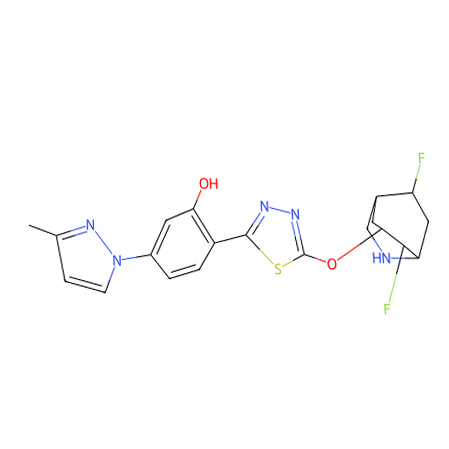 Cc1ccn(-c2ccc(-c3nnc(OC4CC5CNC(CC5F)C4F)s3)c(O)c2)n1